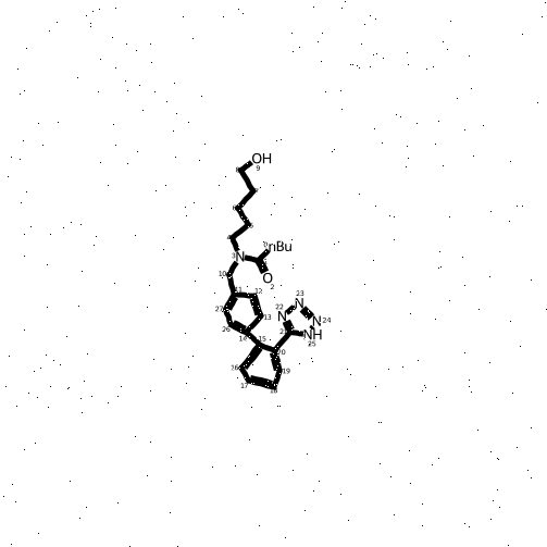 CCCCC(=O)N(CCCCCO)Cc1ccc(-c2ccccc2-c2nnn[nH]2)cc1